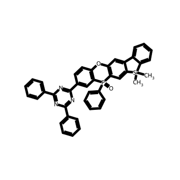 C[Si]1(C)c2ccccc2-c2cc3c(cc21)P(=O)(c1ccccc1)c1cc(-c2nc(-c4ccccc4)nc(-c4ccccc4)n2)ccc1O3